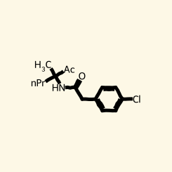 CCCC(C)(NC(=O)Cc1ccc(Cl)cc1)C(C)=O